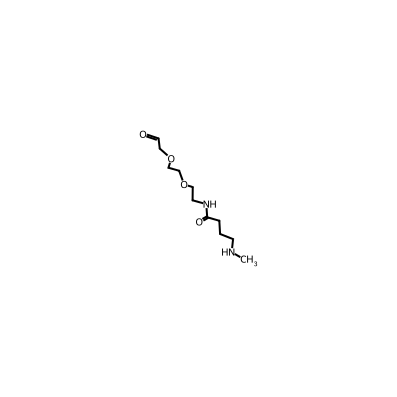 CNCCCC(=O)NCCOCCOCC=O